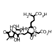 CC(C)C(O)[C@@]1(C(=O)SCC(NC(=O)CCC(N)C(=O)O)C(=O)NCC(=O)O)NC(=O)[C@H](C)[C@@H]1O